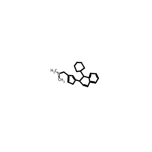 CN(C)CC1=CCC(C2C=Cc3ccccc3C2C2CCCCC2)=C1